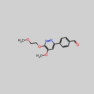 COCCOc1nnc(-c2ccc(C=O)cc2)cc1OC